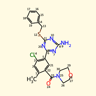 Cc1cc(Cl)c(-c2nc(N)nc(SCc3ccccc3)n2)cc1C(=O)N1CCOCC1